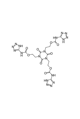 O=C(Nc1nnn[nH]1)OCCn1c(=O)n(CCOC(=O)Nc2nnn[nH]2)c(=O)n(CCOC(=O)Nc2nnn[nH]2)c1=O